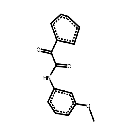 COc1cccc(NC(=O)C(=O)c2ccccc2)c1